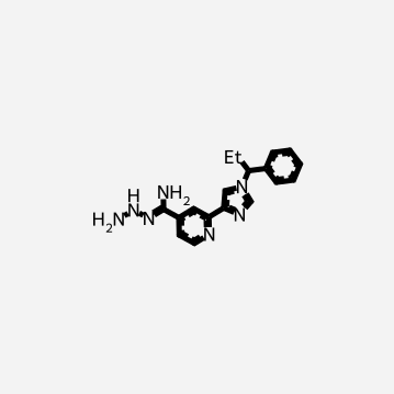 CCC(c1ccccc1)n1cnc(-c2cc(/C(N)=N/NN)ccn2)c1